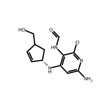 Nc1cc(N[C@@H]2C=CC(CO)C2)c(NC=O)c(Cl)n1